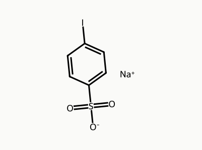 O=S(=O)([O-])c1ccc(I)cc1.[Na+]